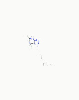 CCCCCCCCCCCCCCCCn1cnc2nc(Cl)nc(Cl)c21